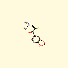 CN(C)/C=C(/F)C(=O)c1ccc2c(c1)OCO2